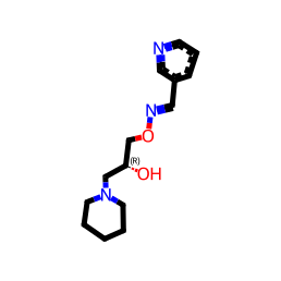 O[C@@H](CON=Cc1cccnc1)CN1CCCCC1